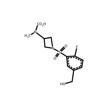 CN(C(=O)O)C1CN(S(=O)(=O)c2cc(CO)ccc2F)C1